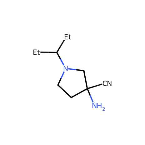 CCC(CC)N1CCC(N)(C#N)C1